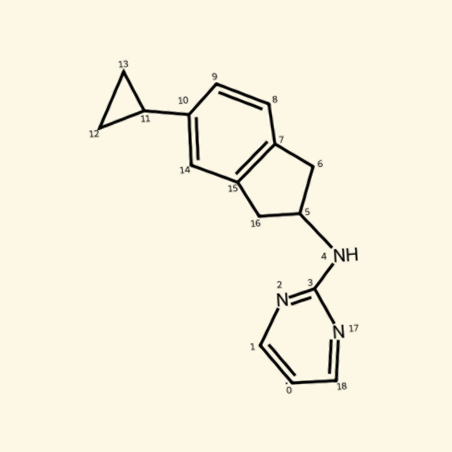 [c]1cnc(NC2Cc3ccc(C4CC4)cc3C2)nc1